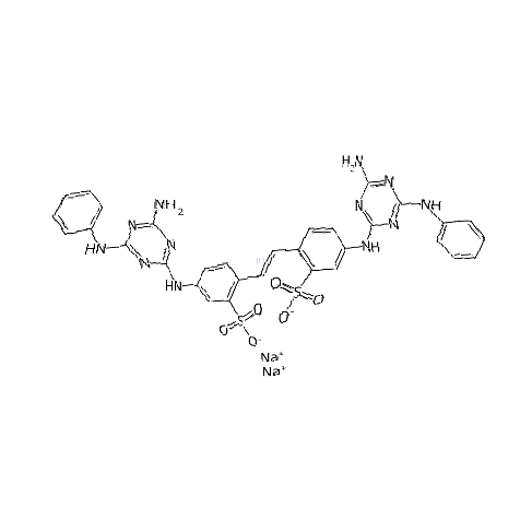 Nc1nc(Nc2ccccc2)nc(Nc2ccc(/C=C/c3ccc(Nc4nc(N)nc(Nc5ccccc5)n4)cc3S(=O)(=O)[O-])c(S(=O)(=O)[O-])c2)n1.[Na+].[Na+]